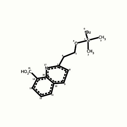 CC(C)(C)[Si](C)(C)OCCc1ccc2cccc(C(=O)O)c2n1